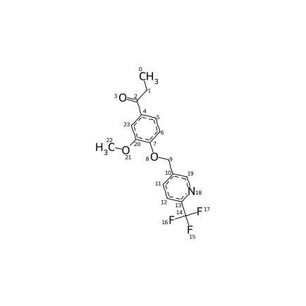 CCC(=O)c1ccc(OCc2ccc(C(F)(F)F)nc2)c(OC)c1